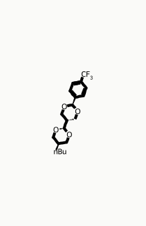 CCCC[C@H]1CO[C@H]([C@H]2CO[C@H](c3ccc(C(F)(F)F)cc3)OC2)OC1